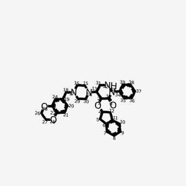 O=C1C(OC2Cc3ccccc3C2)C(N2CCN(Cc3ccc4c(c3)OCCO4)CC2)CNN1c1ccccc1